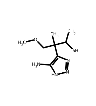 COCC(C)(c1nn[nH]c1N)C(C)S